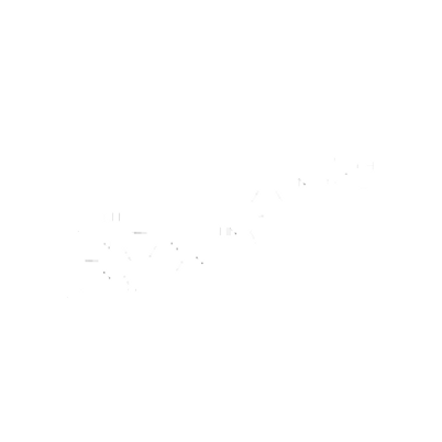 CC(C)n1c(=O)n(CC2CC2)c(=O)c2cc(NC(=O)N3CCCC(NC(=O)c4ccc5c(c4)CN(C(=O)OC(C)(C)C)C5)C3)c(F)cc21